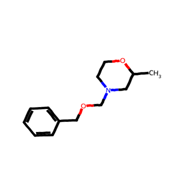 CC1CN(COCc2ccccc2)CCO1